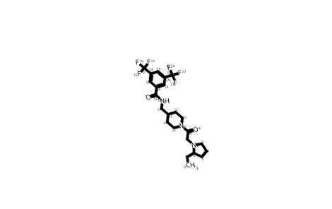 CCC1CCCN1CC(=O)N1CCC(CNC(=O)c2cc(C(F)(F)F)cc(C(F)(F)F)c2)CC1